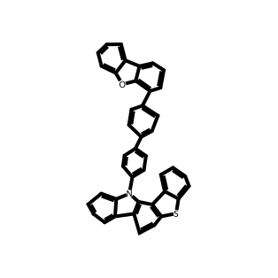 c1ccc2c(c1)oc1c(-c3ccc(-c4ccc(-n5c6ccccc6c6ccc7sc8ccccc8c7c65)cc4)cc3)cccc12